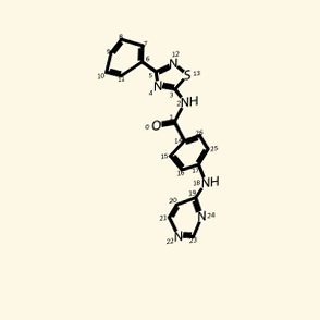 O=C(Nc1nc(-c2ccccc2)ns1)c1ccc(Nc2ccncn2)cc1